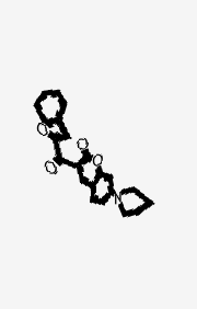 O=C(c1cc2ccccc2o1)c1cc2ccc(N3CCCC3)cc2oc1=O